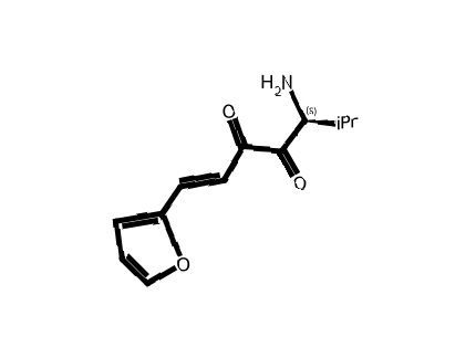 CC(C)[C@H](N)C(=O)C(=O)C=Cc1ccco1